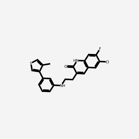 Cc1cscc1-c1cccc(NCCc2cc3cc(Cl)c(F)cc3[nH]c2=O)c1